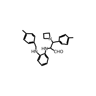 Cc1ccc(CNc2ccccc2NC(C=O)C(c2ccc(C)cc2)N2CCC2)cc1